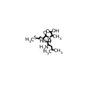 CSCC[C@H](NC(=O)[C@@H](N)CC(C)C)C(=O)N[C@@H](C)C(=O)O